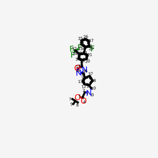 CN(CC(=O)OC(C)(C)C)Cc1ccc(-c2noc(-c3ccc(-c4ccccc4F)c(C(F)(F)F)c3)n2)cc1